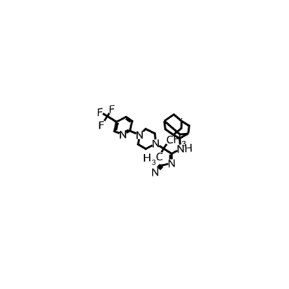 CC(C)(/C(=N\C#N)NC1C2C[C]3CC(C2)CC1C3)N1CCN(c2ccc(C(F)(F)F)cn2)CC1